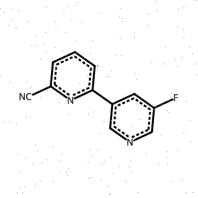 N#Cc1cc[c]c(-c2cncc(F)c2)n1